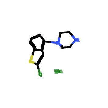 Cl.Clc1cc2c(N3CCNCC3)cccc2s1